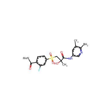 Bc1ncc(NC(=O)C(C)(O)CS(=O)(=O)c2ccc(C(=O)NC)c(F)c2)cc1C(F)(F)F